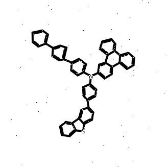 c1ccc(-c2ccc(-c3ccc(N(c4ccc(-c5ccc6sc7ccccc7c6c5)cc4)c4ccc5c6ccccc6c6ccccc6c5c4)cc3)cc2)cc1